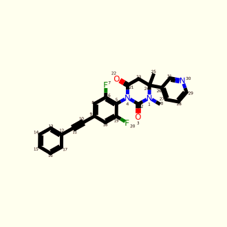 CN1C(=O)N(c2c(F)cc(C#Cc3ccccc3)cc2F)C(=O)CC1(C)c1cccnc1